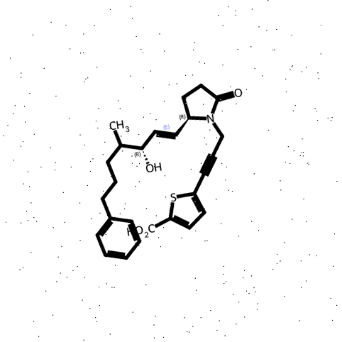 CC(CCCc1ccccc1)[C@@H](O)/C=C/[C@H]1CCC(=O)N1CC#Cc1ccc(C(=O)O)s1